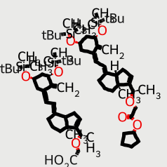 C=C1C(=CC=C2CCC[C@]3(C)C([C@H](C)OCC(=O)O)=CCC23)C[C@@H](O[Si](C)(C)C(C)(C)C)C[C@@H]1O[Si](C)(C)C(C)(C)C.C=C1C(=CC=C2CCC[C@]3(C)C([C@H](C)OCC(=O)OC4CCCC4)=CC[C@@H]23)C[C@@H](O[Si](C)(C)C(C)(C)C)C[C@@H]1O[Si](C)(C)C(C)(C)C